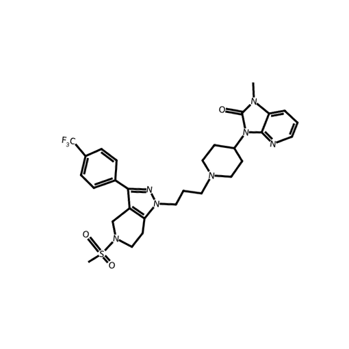 Cn1c(=O)n(C2CCN(CCCn3nc(-c4ccc(C(F)(F)F)cc4)c4c3CCN(S(C)(=O)=O)C4)CC2)c2ncccc21